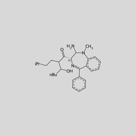 CCCCC(O)C(CCC(C)C)C(=O)[C@H]1N=C(c2ccccc2)c2ccccc2N(C)C1N